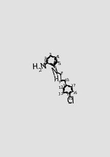 Nc1ccccc1NCC=Cc1ccc(Cl)cc1